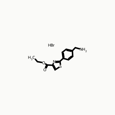 Br.CCOC(=O)c1csc(-c2ccc(CN)cc2)n1